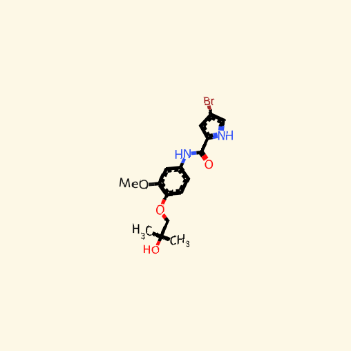 COc1cc(NC(=O)c2cc(Br)c[nH]2)ccc1OCC(C)(C)O